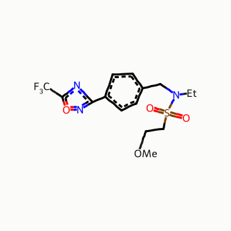 CCN(Cc1ccc(-c2noc(C(F)(F)F)n2)cc1)S(=O)(=O)CCOC